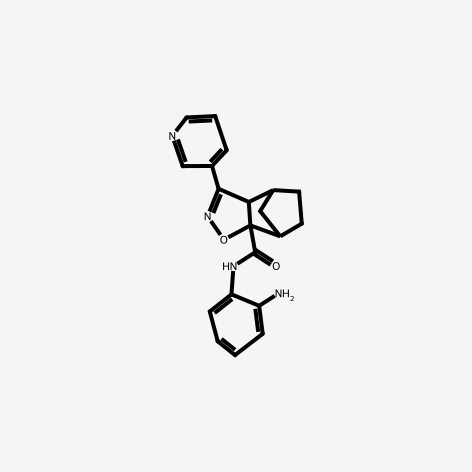 Nc1ccccc1NC(=O)C12ON=C(c3cccnc3)C1C1CCC2C1